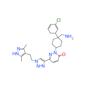 Cc1n[nH]c(C)c1CCn1cc(-c2ccc(=O)n(C3CCC(CN)(C4C=C(Cl)C=CC4)CC3)n2)nn1